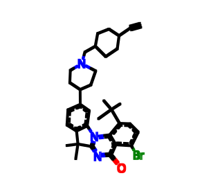 C#CC1CCC(CN2CCC(c3ccc4c(c3)-n3c(nc(=O)c5c(Br)ccc(C(C)(C)C)c53)C4(C)C)CC2)CC1